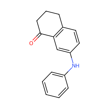 O=C1CCCc2ccc(Nc3ccccc3)cc21